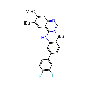 CCC(C)c1ccc(-c2ccc(F)c(F)c2)cc1Nc1ncnc2cc(OC)c(C(C)CC)cc12